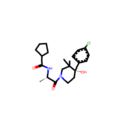 C[C@H](NC(=O)C1CCCC1)C(=O)N1CC[C@](O)(c2ccc(Cl)cc2)C(C)(C)C1